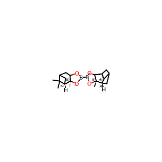 CC1(C)C2CC3OB(B4OC5C6CC7C[C@@H]([C@]76C)[C@]5(C)O4)O[C@@]3(C)[C@H]1C2